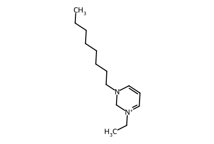 CCCCCCCCN1C=CC=[N+](CC)C1